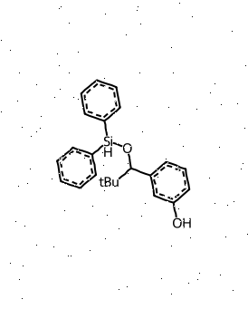 CC(C)(C)C(O[SiH](c1ccccc1)c1ccccc1)c1cccc(O)c1